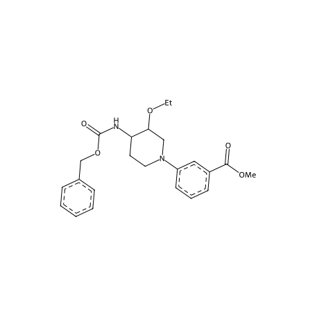 CCOC1CN(c2cccc(C(=O)OC)c2)CCC1NC(=O)OCc1ccccc1